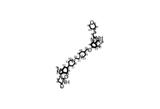 Cn1nc(N2CCC(=O)NC2=O)c2ccc(C3CCN(CCN4CCC(COc5cc(F)c6c(=O)[nH]c(CSC7CCOCC7)nc6c5)CC4)CC3)cc21